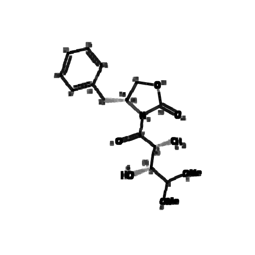 COC(OC)[C@H](O)[C@@H](C)C(=O)N1C(=O)OC[C@H]1Cc1ccccc1